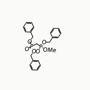 COP(=O)(CP(=O)(OCc1ccccc1)OCc1ccccc1)OCc1ccccc1